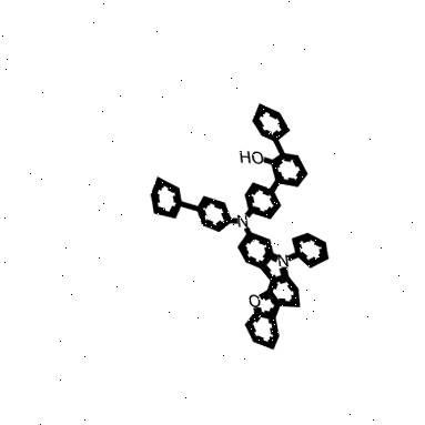 Oc1c(-c2ccccc2)cccc1-c1ccc(N(c2ccc(-c3ccccc3)cc2)c2ccc3c4c5oc6ccccc6c5ccc4n(-c4ccccc4)c3c2)cc1